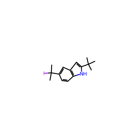 CC(C)(C)c1cc2cc(C(C)(C)I)ccc2[nH]1